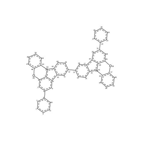 c1ccc(-c2cc3c4c(c2)c2cc(-c5ccc6c(c5)c5cc(-c7ccccc7)cc7c5n6-c5ccccc5O7)ccc2n4-c2ccccc2O3)cc1